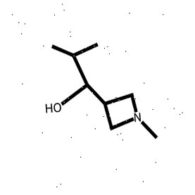 CC(C)C(O)C1CN(C)C1